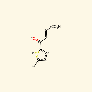 Cc1ccc(C(=O)/C=C/C(=O)O)s1